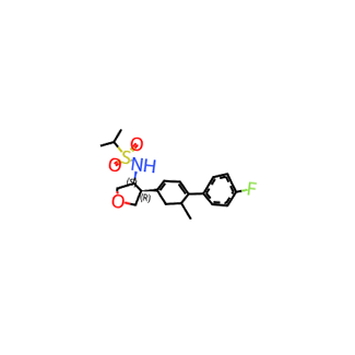 CC1CC([C@H]2COC[C@H]2NS(=O)(=O)C(C)C)=CC=C1c1ccc(F)cc1